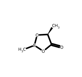 CB1OC(=O)[C@H](C)O1